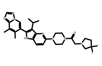 Cc1c(-c2[nH]c3ccc(N4CCN(C(=O)CN5CCC(F)(F)C5)CC4)nc3c2C(C)C)cn2ncnc2c1C